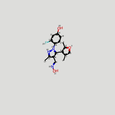 Cc1coc(C)c1-c1c(C=NO)c(C)nn1-c1ccc(O)cc1F